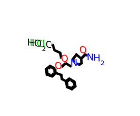 Cl.NC(=O)C1CCN(CC(COc2ccccc2CCc2ccccc2)OCCCCC(=O)O)CC1